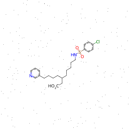 O=C(O)CC(CCCCCNS(=O)(=O)c1ccc(Cl)cc1)CCCCc1cccnc1